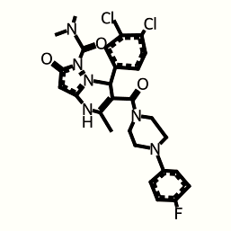 CC1=C(C(=O)N2CCN(c3ccc(F)cc3)CC2)C(c2ccc(Cl)c(Cl)c2)n2c(cc(=O)n2C(=O)N(C)C)N1